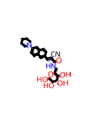 N#C/C(=C\c1ccc2cc(N3CCCCC3)ccc2c1)C(=O)NCC1OC(O)C(O)C(O)C1O